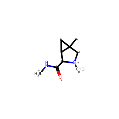 BNC(=O)C1C2CC2(C)CN1C=O